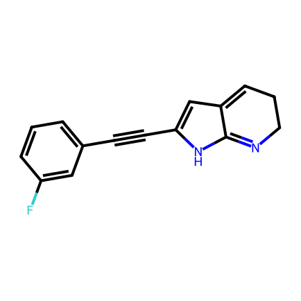 Fc1cccc(C#Cc2cc3c([nH]2)=NCCC=3)c1